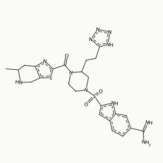 CC1Cc2nc(C(=O)N3CCN(S(=O)(=O)c4cc5ccc(C(=N)N)cc5[nH]4)CC3CCc3nnn[nH]3)sc2CN1